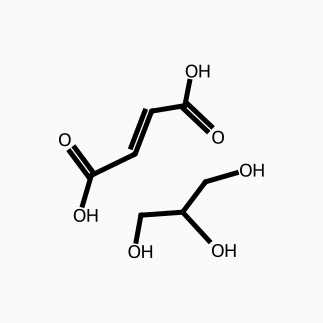 O=C(O)C=CC(=O)O.OCC(O)CO